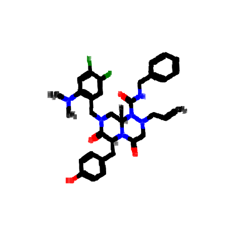 C=CCN1CC(=O)N2[C@@H](Cc3ccc(O)cc3)C(=O)N(Cc3cc(F)c(F)cc3N(C)C)C[C@@H]2N1C(=O)NCc1ccccc1